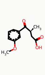 COc1cccc(C(=O)[C@@H](C)CC(=O)O)c1